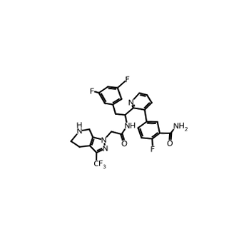 NC(=O)c1cc(-c2cccnc2C(Cc2cc(F)cc(F)c2)NC(=O)Cn2nc(C(F)(F)F)c3c2CNCC3)ccc1F